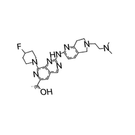 C[C@@H](O)c1cc2cnc(Nc3ccc4c(n3)CCN(CCN(C)C)C4)nc2c(N2CCC(F)CC2)n1